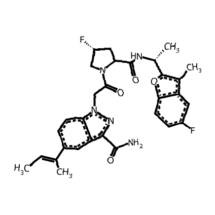 C/C=C(\C)c1ccc2c(c1)c(C(N)=O)nn2CC(=O)N1C[C@H](F)CC1C(=O)N[C@H](C)c1oc2ccc(F)cc2c1C